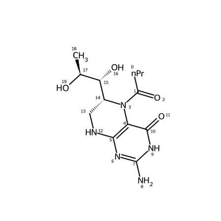 CCCC(=O)N1c2c(nc(N)[nH]c2=O)NC[C@@H]1[C@@H](O)[C@H](C)O